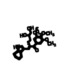 COc1cc(C(=O)C(=Cc2c[nH]c3ccccc23)SCC(O)CO)cc(OC)c1OC